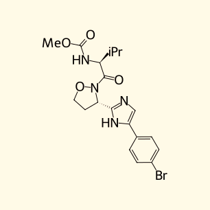 COC(=O)N[C@H](C(=O)N1OCC[C@H]1c1ncc(-c2ccc(Br)cc2)[nH]1)C(C)C